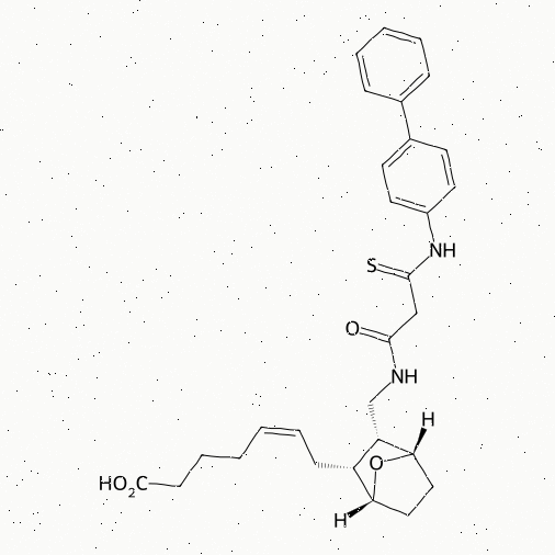 O=C(O)CCC/C=C\C[C@@H]1[C@H](CNC(=O)CC(=S)Nc2ccc(-c3ccccc3)cc2)[C@@H]2CC[C@H]1O2